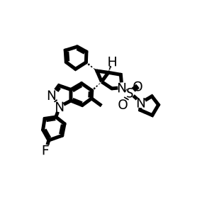 Cc1cc2c(cnn2-c2ccc(F)cc2)cc1[C@@]12CN(S(=O)(=O)N3CCCC3)C[C@@H]1[C@H]2C1C=CC=CC1